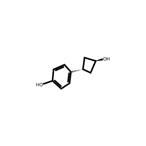 Oc1ccc([C@H]2C[C@H](O)C2)cc1